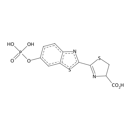 O=C(O)C1CSC(c2nc3ccc(OP(=O)(O)O)cc3s2)=N1